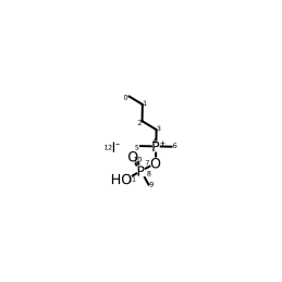 CCCC[P+](C)(C)OP(C)(=O)O.[I-]